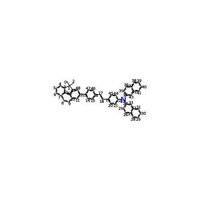 CC1(C)c2cccc3ccc4cc(-c5ccc(/C=C/c6ccc(N(c7ccc8ccccc8c7)c7ccc8ccccc8c7)cc6)cc5)cc1c4c23